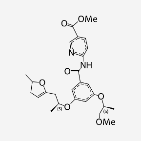 COC[C@H](C)Oc1cc(O[C@@H](C)CC2=CCC(C)O2)cc(C(=O)Nc2ccc(C(=O)OC)cn2)c1